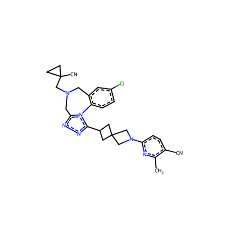 Cc1nc(N2CC3(CC(c4nnc5n4-c4ccc(Cl)cc4CN(CC4(C#N)CC4)C5)C3)C2)ccc1C#N